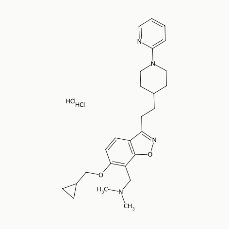 CN(C)Cc1c(OCC2CC2)ccc2c(CCC3CCN(c4ccccn4)CC3)noc12.Cl.Cl